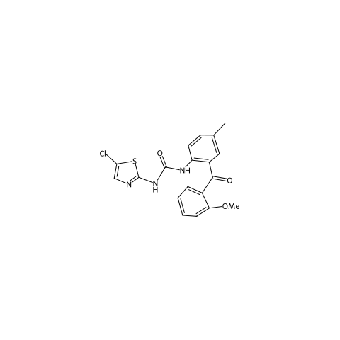 COc1ccccc1C(=O)c1cc(C)ccc1NC(=O)Nc1ncc(Cl)s1